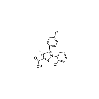 C[C@H]1C(C(=O)O)=NN(c2ccccc2Cl)[C@@H]1c1ccc(Cl)cc1